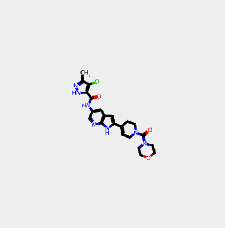 Cc1n[nH]c(C(=O)Nc2cnc3[nH]c(C4=CCN(C(=O)N5CCOCC5)CC4)cc3c2)c1Cl